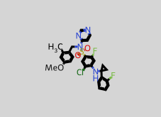 COc1ccc(CN(c2ccncn2)S(=O)(=O)c2cc(Cl)c(NC3(c4ccccc4F)CC3)cc2F)c(C)c1